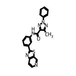 Cc1nn(-c2ccccc2)nc1C(=O)Nc1cccc(-c2nc3ccncc3s2)c1